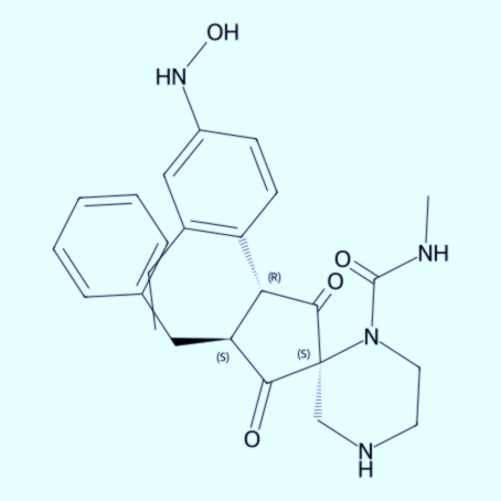 CCc1cc(NO)ccc1[C@@H]1C(=O)[C@]2(CNCCN2C(=O)NC)C(=O)[C@H]1Cc1ccccc1